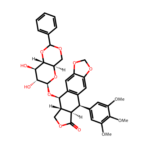 COc1cc([C@@H]2c3cc4c(cc3[C@H](O[C@@H]3O[C@@H]5COC(c6ccccc6)O[C@H]5[C@H](O)[C@H]3O)[C@H]3COC(=O)[C@H]23)OCO4)cc(OC)c1OC